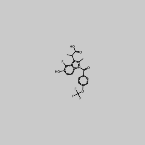 Cc1c(C(C)C(=O)O)c2c(F)c(O)ccc2n1C(=O)c1ccc(OC(F)(F)F)cc1